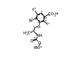 C[C@@H](CSc1c(Br)c(F)cc(C(=O)O)c1I)NC(=O)OC(C)(C)C